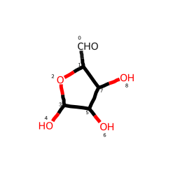 O=CC1OC(O)C(O)C1O